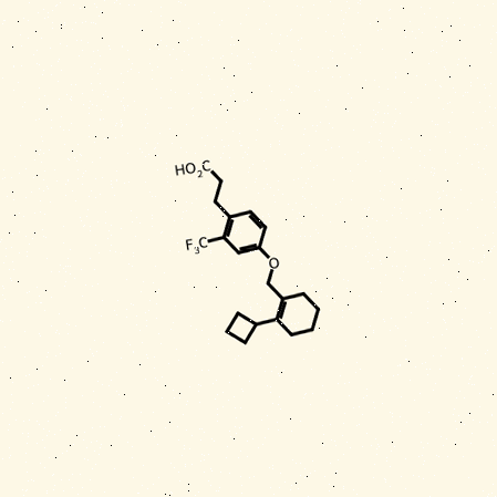 O=C(O)CCc1ccc(OCC2=C(C3CCC3)CCCC2)cc1C(F)(F)F